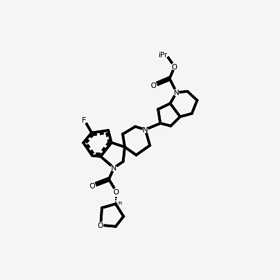 CC(C)OC(=O)N1CCCC2CC(N3CCC4(CC3)CN(C(=O)O[C@@H]3CCOC3)c3ccc(F)cc34)CC21